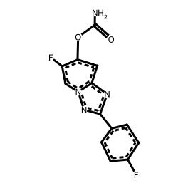 NC(=O)Oc1cc2nc(-c3ccc(F)cc3)nn2cc1F